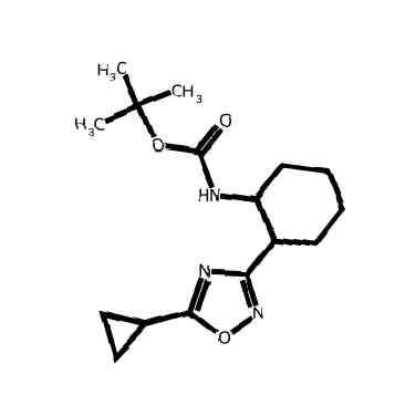 CC(C)(C)OC(=O)NC1CCCCC1c1noc(C2CC2)n1